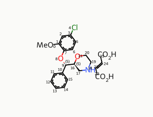 COc1cc(Cl)ccc1O[C@@H](c1ccccc1)[C@@H]1CNCCO1.O=C(O)C=CC(=O)O